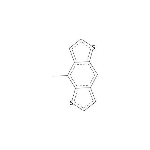 Cc1c2ccsc2cc2ccsc12